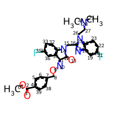 COC(=O)c1ccc(CO/N=C2/C(=O)N(Cc3nc4cc(F)ccc4n3CCN(C)C)c3ccc(F)cc32)cc1